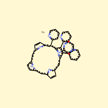 C1=Cc2cc3c(-c4ccccn4)c(-c4ccccn4)c(c(-c4ccccn4)c4nc(cc5ccc(cc1n2)[nH]5)C=C4)n3-c1ccccn1.[Cu]